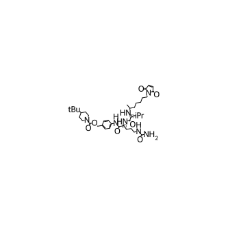 CC(CCCCCN1C(=O)C=CC1=O)N[C@H](C(=O)N[C@@H](CCCNC(N)=O)C(=O)Nc1ccc(COC(=O)N2CCC(C(C)(C)C)CC2)cc1)C(C)C